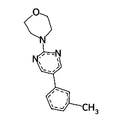 Cc1cccc(-c2cnc(N3CCOCC3)nc2)c1